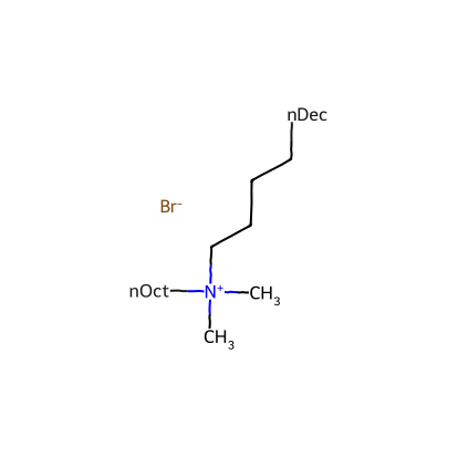 CCCCCCCCCCCCCC[N+](C)(C)CCCCCCCC.[Br-]